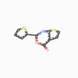 O=c1oc(-c2cccs2)nc2sccc12